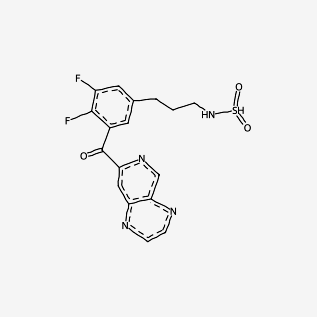 O=C(c1cc2nccnc2cn1)c1cc(CCCN[SH](=O)=O)cc(F)c1F